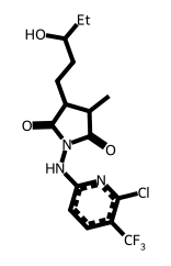 CCC(O)CCC1C(=O)N(Nc2ccc(C(F)(F)F)c(Cl)n2)C(=O)C1C